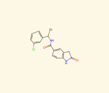 CCC(NC(=O)c1ccc2c(c1)CC(=O)N2)c1cccc(Cl)c1